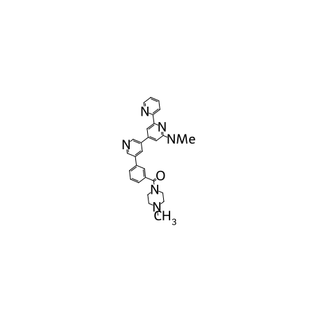 CNc1cc(-c2cncc(-c3cccc(C(=O)N4CCN(C)CC4)c3)c2)cc(-c2ccccn2)n1